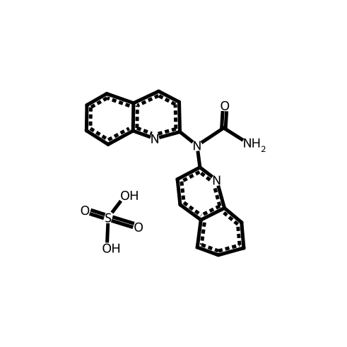 NC(=O)N(c1ccc2ccccc2n1)c1ccc2ccccc2n1.O=S(=O)(O)O